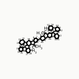 CC1(C)c2cc(-c3ccc4c(c3)C(C)(C)c3cc([Si](c5ccccc5)(c5ccccc5)c5ccccc5)ccc3-4)ccc2-c2ccc([Si](c3ccccc3)(c3ccccc3)c3ccccc3)cc21